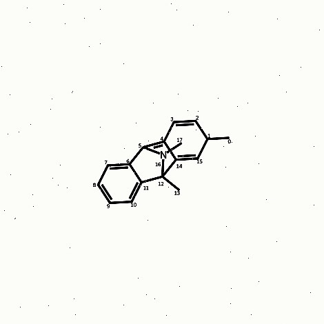 CC1C=CC2=C3c4ccccc4C(C)(C2=C1)N3C